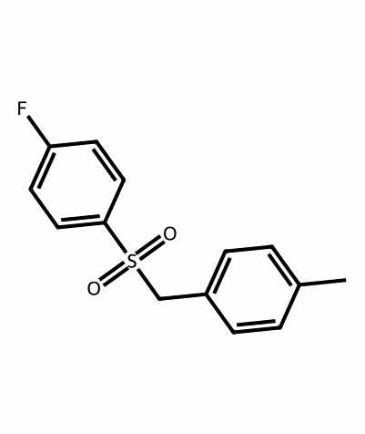 Cc1ccc(CS(=O)(=O)c2ccc(F)cc2)cc1